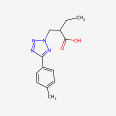 CCC(Cn1nnc(-c2ccc(C)cc2)n1)C(=O)O